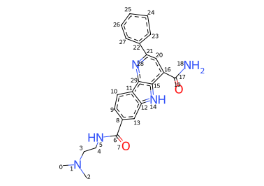 CN(C)CCNC(=O)c1ccc2c(c1)[nH]c1c(C(N)=O)cc(-c3ccccc3)nc12